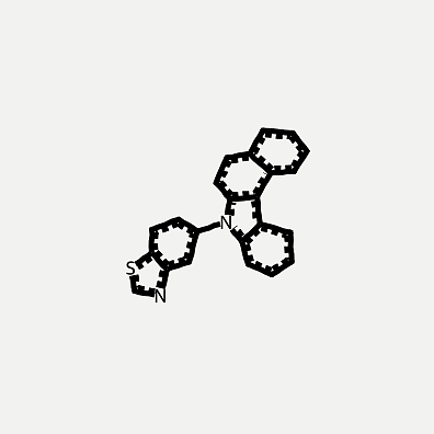 c1ccc2c(c1)ccc1c2c2ccccc2n1-c1ccc2scnc2c1